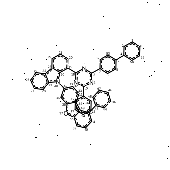 c1ccc(-c2ccc(-c3nc(-c4ccccc4)nc(-c4cccc5c6ccccc6n(-c6ccc7c(c6)oc6cccc(-c8ccccc8)c67)c45)n3)cc2)cc1